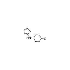 O=C1CCC(Nc2cccs2)CC1